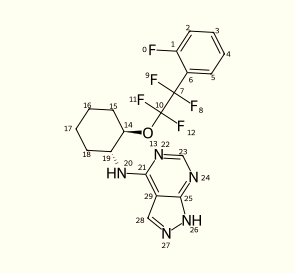 Fc1ccccc1C(F)(F)C(F)(F)O[C@@H]1CCCC[C@H]1Nc1ncnc2[nH]ncc12